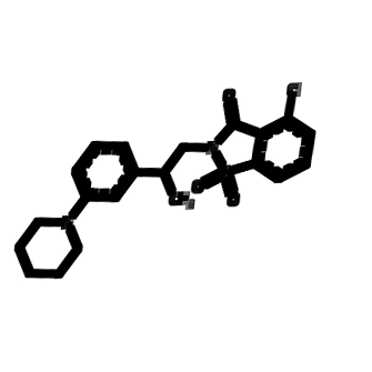 CC(CN1C(=O)c2c(Cl)cccc2S1(=O)=O)c1cccc(N2CCCCC2)c1